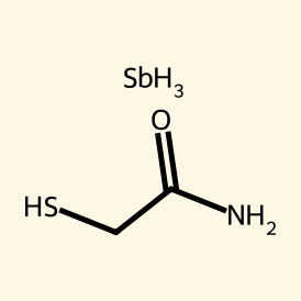 NC(=O)CS.[SbH3]